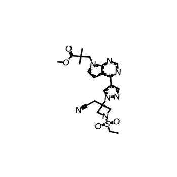 CCS(=O)(=O)N1CC(CC#N)(n2cc(-c3ncnc4c3ccn4CC(C)(C)C(=O)OC)cn2)C1